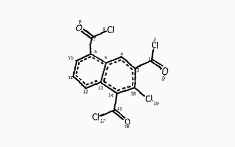 O=C(Cl)c1cc2c(C(=O)Cl)cccc2c(C(=O)Cl)c1Cl